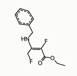 CCOC(=O)C(F)=C(CF)NCc1ccccc1